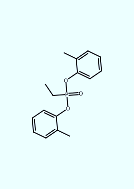 CCP(=O)(Oc1ccccc1C)Oc1ccccc1C